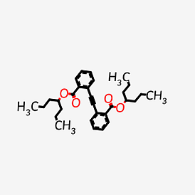 CCCC(CCC)OC(=O)c1ccccc1C#Cc1ccccc1C(=O)OC(CCC)CCC